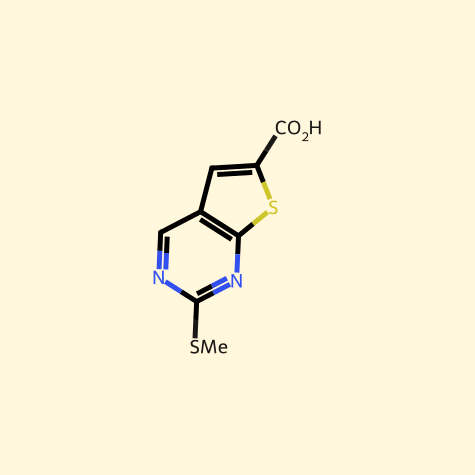 CSc1ncc2cc(C(=O)O)sc2n1